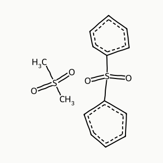 CS(C)(=O)=O.O=S(=O)(c1ccccc1)c1ccccc1